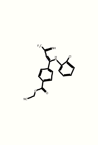 N#CCOC(=O)c1ccc(/C(=C/C(=N)C(F)(F)F)Nc2ccccc2Cl)cc1